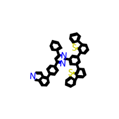 c1ccc(-c2cc(-c3ccc(-c4cccc5cnccc45)cc3)nc(-c3cc(-c4cccc5c4sc4ccccc45)cc(-c4cccc5c4sc4ccccc45)c3)n2)cc1